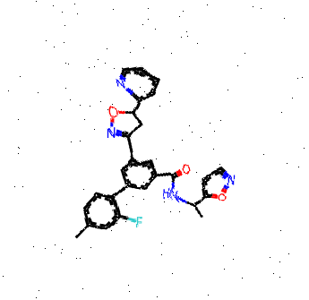 Cc1ccc(-c2cc(C(=O)NC(C)c3ccno3)cc(C3=NOC(c4ccccn4)C3)c2)c(F)c1